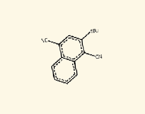 CC(C)(C)c1cc(C#N)c2ccccc2c1C#N